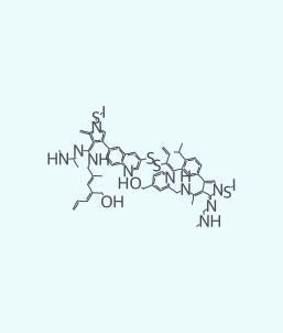 C=C/C=C(\C=C(/C)CNC(/N=C(\C)NC)=c1\c(-c2ccc3ncc(SS/C(C=C)=C/c4cc(C5=CN(SI)C(=N/CNC)/C5=C(\C)NCc5cc(CO)ccn5)ccc4C(C)C)cc3c2)cn(SI)c1=C)CO